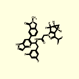 CN1Cc2ccc(-c3cc4[nH]ncc4nc3C(Cc3cc(F)cc(F)c3)NC(=O)Cn3nc(C(F)F)c4c3C(F)(F)[C@@H]3C[C@H]43)cc2C1=O